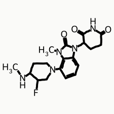 CNC1CCN(c2cccc3c2n(C)c(=O)n3C2CCC(=O)NC2=O)CC1F